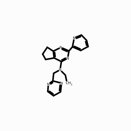 CCN(Cc1ncccn1)c1nc(-c2ccccn2)nc2c1CCC2